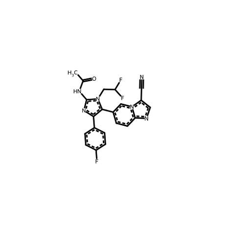 CC(=O)Nc1nc(-c2ccc(F)cc2)c(-c2ccc3ncc(C#N)n3c2)n1CC(F)F